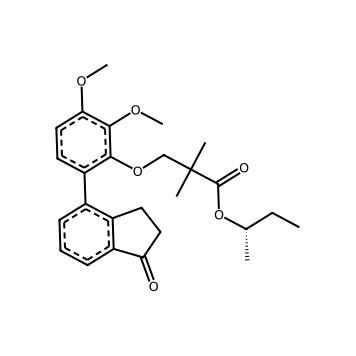 CC[C@H](C)OC(=O)C(C)(C)COc1c(-c2cccc3c2CCC3=O)ccc(OC)c1OC